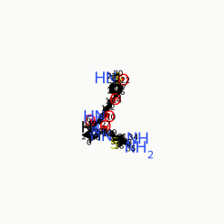 C[C@@]12C[C@@H]1N(C(=O)CNC(=O)CCCOc1ccc(S(C)(=N)=O)cc1)[C@H](C(=O)NCc1cc(C(=N)N)cs1)C2